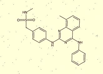 CNS(=O)(=O)Cc1ccc(Nc2nc(Nc3ccccc3)c3cccc(C)c3n2)cc1